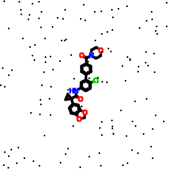 O=C(c1ccc(-c2cc(NC(=O)C3(c4ccc5c(c4)OCO5)CC3)ccc2Cl)cc1)N1CCOCC1